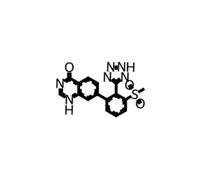 CS(=O)(=O)c1cccc(-c2ccc3c(=O)nc[nH]c3c2)c1-c1nn[nH]n1